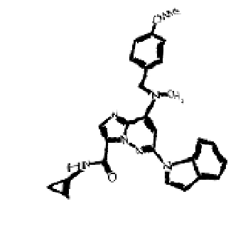 COc1ccc(CN(C)c2cc(-n3ccc4ccccc43)nn3c(C(=O)NC4CC4)cnc23)cc1